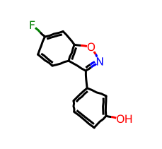 Oc1cccc(-c2noc3cc(F)ccc23)c1